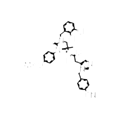 COc1ccc(NC(=S)N(Cc2cccc(Cl)c2Cl)CC(C)(C)NC(=O)Cc2cncn2Cc2ccc(C#N)cc2)cc1